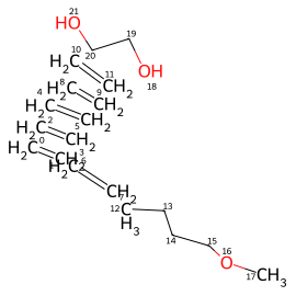 C=C.C=C.C=C.C=C.C=C.C=C.CCCCOC.OCCO